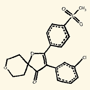 CS(=O)(=O)c1ccc(C2=C(c3cccc(Cl)c3)C(=O)C3(CCOCC3)O2)cc1